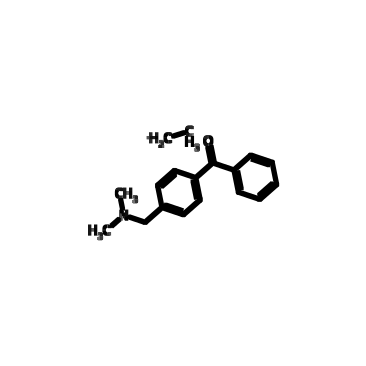 CN(C)Cc1ccc(C(=O)c2ccccc2)cc1.[CH2]C